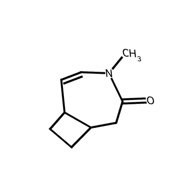 CN1C=CC2CCC2CC1=O